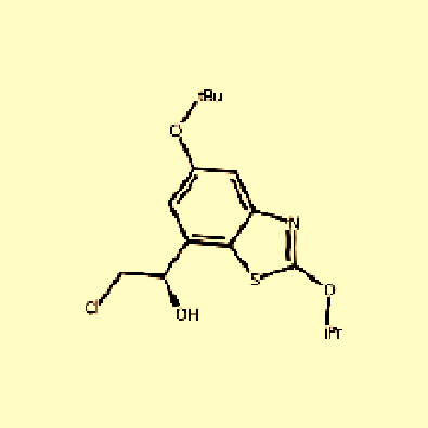 CC(C)Oc1nc2cc(OC(C)(C)C)cc([C@@H](O)CCl)c2s1